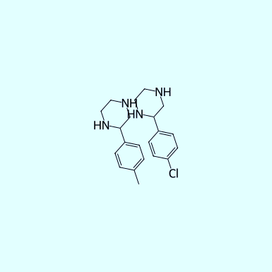 Cc1ccc(C2CNCCN2)cc1.Clc1ccc(C2CNCCN2)cc1